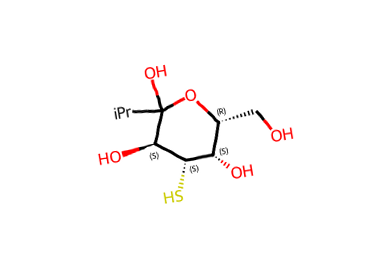 CC(C)C1(O)O[C@H](CO)[C@H](O)[C@H](S)[C@H]1O